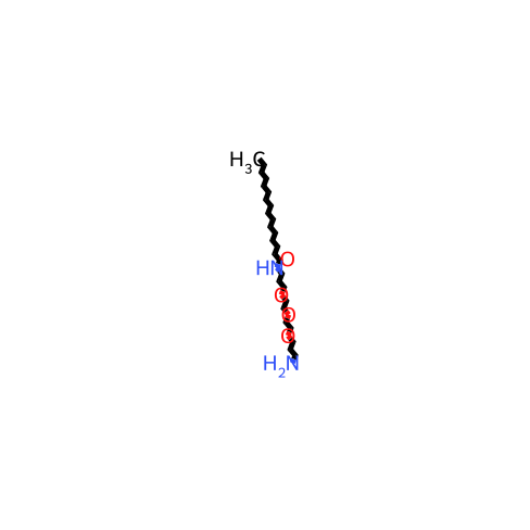 CCCCCCCCCCCCCCCC(=O)NCCCOCCOCCOCCCN